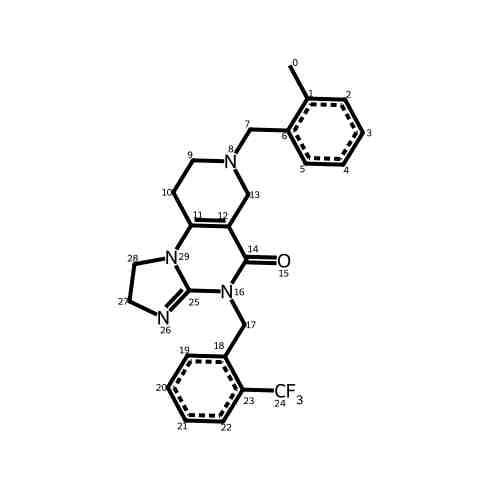 Cc1ccccc1CN1CCC2=C(C1)C(=O)N(Cc1ccccc1C(F)(F)F)C1=NCCN12